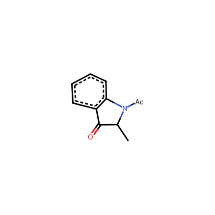 CC(=O)N1c2ccccc2C(=O)C1C